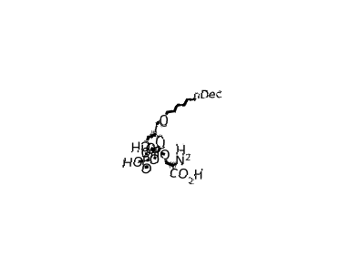 CCCCCCCCCCCCCCCCOC[C@H](CO)OP(=O)(OC[C@H](N)C(=O)O)OP(=O)(O)O